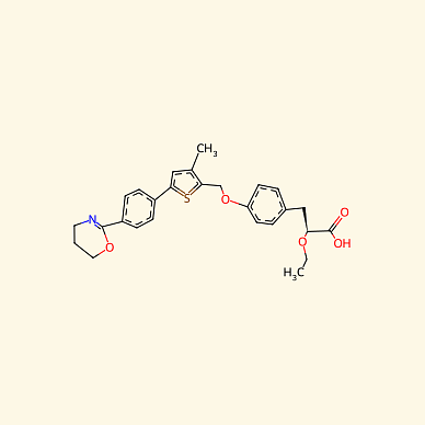 CCO[C@@H](Cc1ccc(OCc2sc(-c3ccc(C4=NCCCO4)cc3)cc2C)cc1)C(=O)O